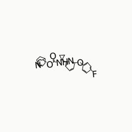 O=C(NC1(c2cccc(Oc3ccc(F)cc3)n2)CC1)OC1CN2CCC1CC2